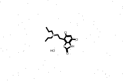 CCCN(CCC)CCc1c(Cl)cc(Cl)c2[nH]c(=O)sc12.Cl